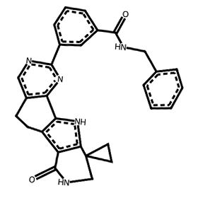 O=C(NCc1ccccc1)c1cccc(-c2ncc3c(n2)-c2[nH]c4c(c2CC3)C(=O)NCC42CC2)c1